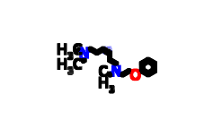 CCN(C)CC/C=C\CCN(CC)CCOc1ccccc1